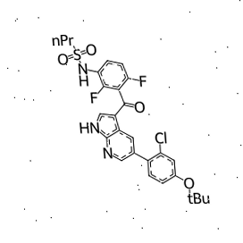 CCCS(=O)(=O)Nc1ccc(F)c(C(=O)c2c[nH]c3ncc(-c4ccc(OC(C)(C)C)cc4Cl)cc23)c1F